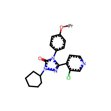 CC(C)Oc1ccc(-n2c(-c3ccncc3Cl)nn(C3CCCCC3)c2=O)cc1